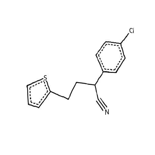 N#CC(CCc1cccs1)c1ccc(Cl)cc1